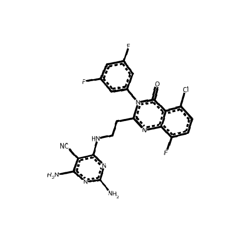 N#Cc1c(N)nc(N)nc1NCCc1nc2c(F)ccc(Cl)c2c(=O)n1-c1cc(F)cc(F)c1